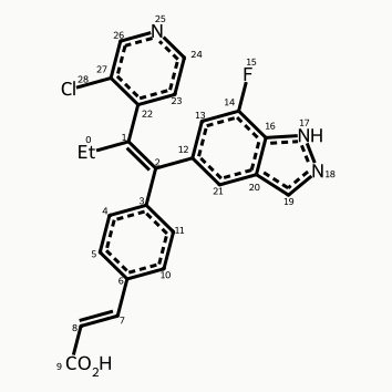 CCC(=C(c1ccc(C=CC(=O)O)cc1)c1cc(F)c2[nH]ncc2c1)c1ccncc1Cl